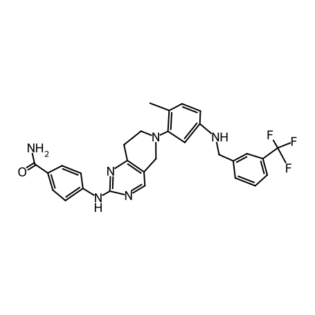 Cc1ccc(NCc2cccc(C(F)(F)F)c2)cc1N1CCc2nc(Nc3ccc(C(N)=O)cc3)ncc2C1